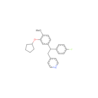 COc1ccc(C(Cc2ccncc2)c2ccc(F)cc2)cc1OC1CCCC1